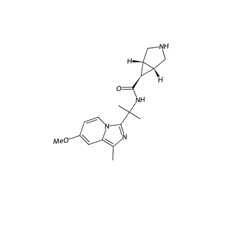 COc1ccn2c(C(C)(C)NC(=O)[C@H]3[C@@H]4CNC[C@@H]43)nc(C)c2c1